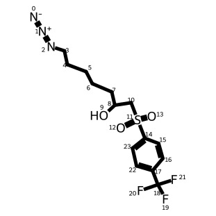 [N-]=[N+]=NCCCCCC(O)CS(=O)(=O)c1ccc(C(F)(F)F)cc1